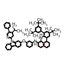 CC(C)c1cc(-n2c3ccccc3c3ccc(Oc4cccc(Nc5ccccc5Nc5c(-c6ccccc6)cc(C(C)(C)C)cc5-c5cc(C(C)(C)C)cc(C(C)(C)C)c5)c4)cc32)ncc1-c1ccccc1